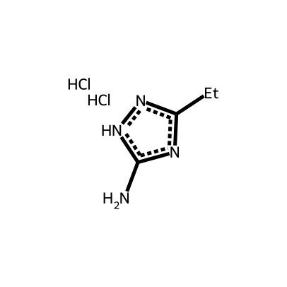 CCc1n[nH]c(N)n1.Cl.Cl